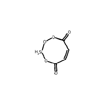 O=C1C=CC(=O)O[SiH2]OO1